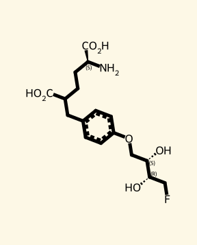 N[C@@H](CCC(Cc1ccc(OC[C@H](O)[C@@H](O)CF)cc1)C(=O)O)C(=O)O